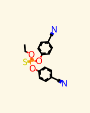 CCOP(=S)(Oc1ccc(C#N)cc1)Oc1ccc(C#N)cc1